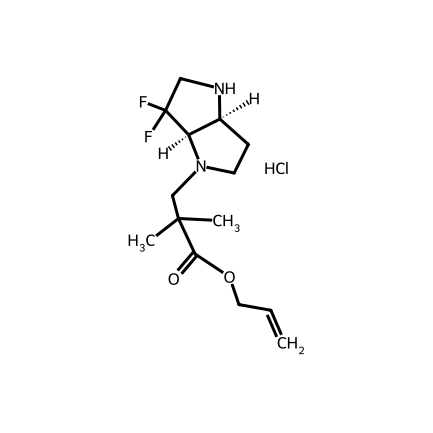 C=CCOC(=O)C(C)(C)CN1CC[C@@H]2NCC(F)(F)[C@@H]21.Cl